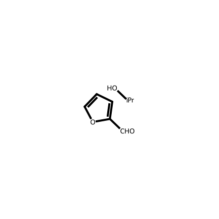 CC(C)O.O=Cc1ccco1